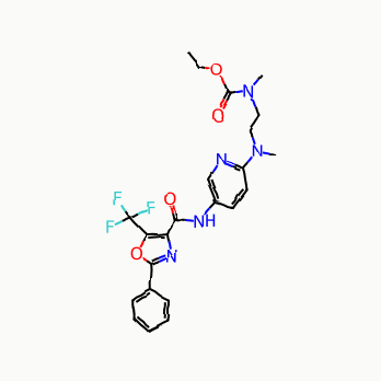 CCOC(=O)N(C)CCN(C)c1ccc(NC(=O)c2nc(-c3ccccc3)oc2C(F)(F)F)cn1